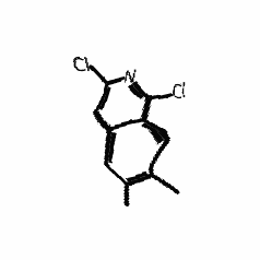 Cc1cc2cc(Cl)nc(Cl)c2cc1C